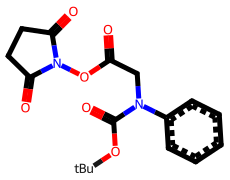 CC(C)(C)OC(=O)N(CC(=O)ON1C(=O)CCC1=O)c1ccccc1